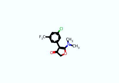 CN(C)C1=C(c2cc(Cl)cc(C(F)(F)F)c2)C(=O)CO1